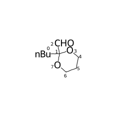 CCCCC1(C=O)OCCCO1